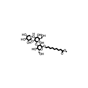 COC(=O)CCCCCCCCO[C@H]1O[C@H](CO)[C@@H](O)[C@H](O[C@H]2O[C@H](CO)[C@@H](O)[C@H](O)[C@H]2O[C@H]2OC[C@@H](O)[C@H](O)[C@H]2O)[C@H]1O